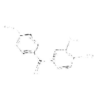 COc1ccc(C(=O)c2ccc([C]=O)cc2)cc1S(=O)(=O)O